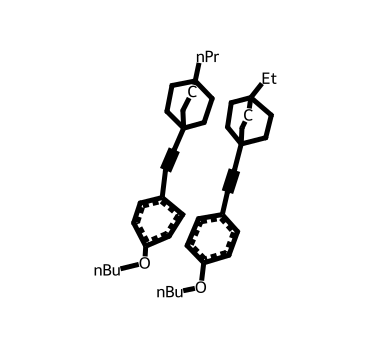 CCCCOc1ccc(C#CC23CCC(CC)(CC2)CC3)cc1.CCCCOc1ccc(C#CC23CCC(CCC)(CC2)CC3)cc1